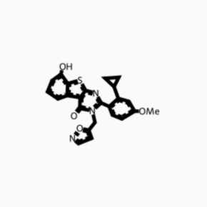 COc1ccc(-c2nc3sc4c(O)cccc4c3c(=O)n2Cc2ccno2)c(C2CC2)c1